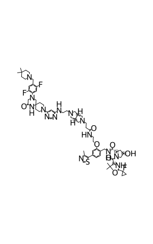 Cc1ncsc1-c1ccc(CNC(=O)[C@@H]2C[C@@H](O)CN2C(=O)[C@@H](NC(=O)C2(F)CC2)C(C)(C)C)c(OCCNC(=O)CCN2C[C@H]3CN(CCNc4cc(N5CCC6(CC5)CN(c5cc(F)c(CN7CCC(C)(C)CC7)cc5F)CC(=O)N6)ncn4)C[C@H]3C2)c1